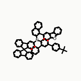 CC(C)(C)c1ccc(-c2ccc(N(c3ccc4c(c3)-c3ccccc3C43c4ccccc4-c4ccccc43)c3ccc4ccccc4c3-c3ccc4oc5ccccc5c4c3)c(-c3ccccc3)c2)cc1